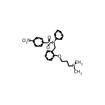 CN(C)CCCOc1ccccc1CN(c1ccccc1)S(=O)(=O)c1ccc([N+](=O)[O-])cc1